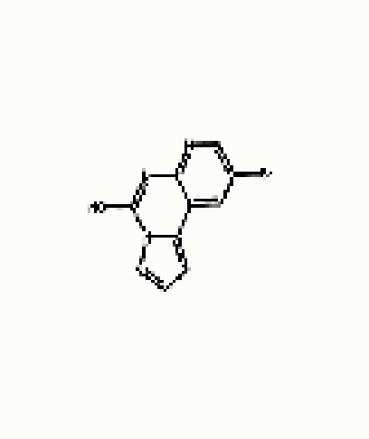 Oc1nc2ncc(Br)cc2c2ccnn12